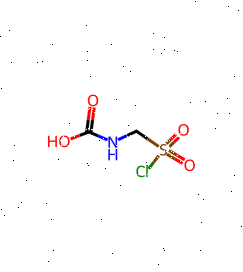 O=C(O)NCS(=O)(=O)Cl